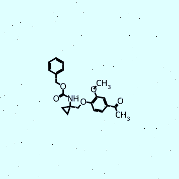 COc1cc(C(C)=O)ccc1OCC1(NC(=O)OCc2ccccc2)CC1